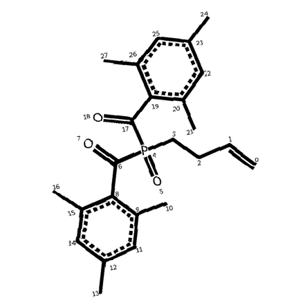 C=CCCP(=O)(C(=O)c1c(C)cc(C)cc1C)C(=O)c1c(C)cc(C)cc1C